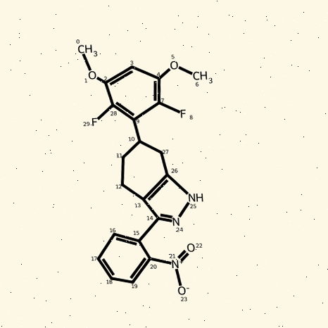 COc1cc(OC)c(F)c(C2CCc3c(-c4ccccc4[N+](=O)[O-])n[nH]c3C2)c1F